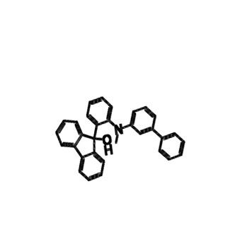 CN(c1cccc(-c2ccccc2)c1)c1ccccc1C1(O)c2ccccc2-c2ccccc21